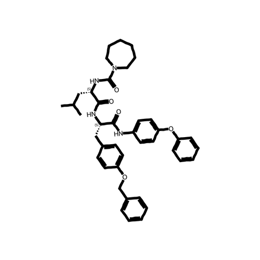 CC(C)C[C@H](NC(=O)N1CCCCCC1)C(=O)N[C@@H](Cc1ccc(OCc2ccccc2)cc1)C(=O)Nc1ccc(Oc2ccccc2)cc1